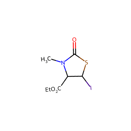 CCOC(=O)C1C(I)SC(=O)N1C